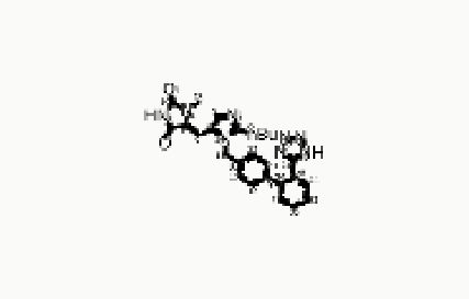 CCCCc1ncc(C=C2C(=O)NC(=O)N2C)n1Cc1ccc(-c2ccccc2-c2nnn[nH]2)cc1